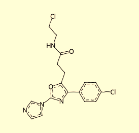 O=C(CCc1oc(-n2ccnc2)nc1-c1ccc(Cl)cc1)NCCCl